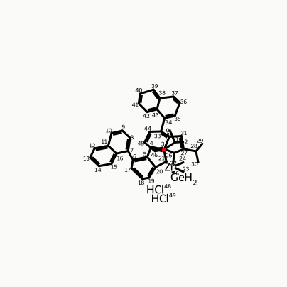 CC(C)C1=Cc2c(-c3cccc4ccccc34)cccc2[CH]1[Zr]([CH3])([CH3])(=[GeH2])[CH]1C(C(C)C)=Cc2c(-c3cccc4ccccc34)cccc21.Cl.Cl